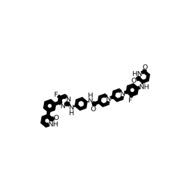 O=C1CC[C@@H](Nc2ccc(N3CCC(N4CCC(C(=O)N[C@H]5CC[C@H](Nc6ncc(F)c(-c7cccc(-c8ccc[nH]c8=O)c7)n6)CC5)CC4)CC3)c(F)c2)C(=O)N1